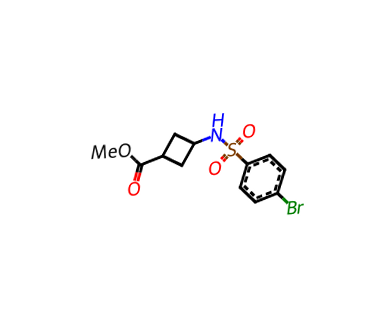 COC(=O)C1CC(NS(=O)(=O)c2ccc(Br)cc2)C1